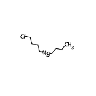 CCC[CH2][Mg][CH2]CCCCl